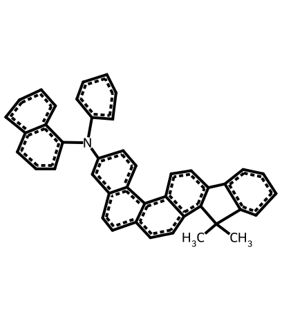 CC1(C)c2ccccc2-c2ccc3c(ccc4ccc5cc(N(c6ccccc6)c6cccc7ccccc67)ccc5c43)c21